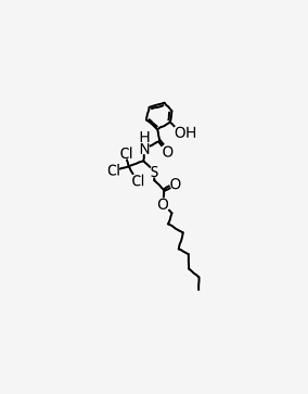 CCCCCCCCOC(=O)CSC(NC(=O)c1ccccc1O)C(Cl)(Cl)Cl